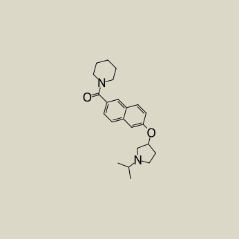 CC(C)N1CCC(Oc2ccc3cc(C(=O)N4CCCCC4)ccc3c2)C1